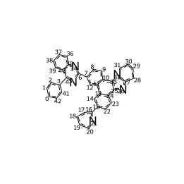 c1ccc(-c2nc(-c3ccc4c(c3)c3cc(-c5ccccn5)ccc3c3nc5ccccn5c43)nc3ccccc23)cc1